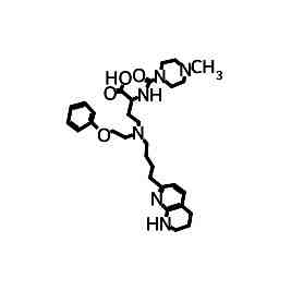 CN1CCN(C(=O)NC(CCN(CCCCc2ccc3c(n2)NCCC3)CCOc2ccccc2)C(=O)O)CC1